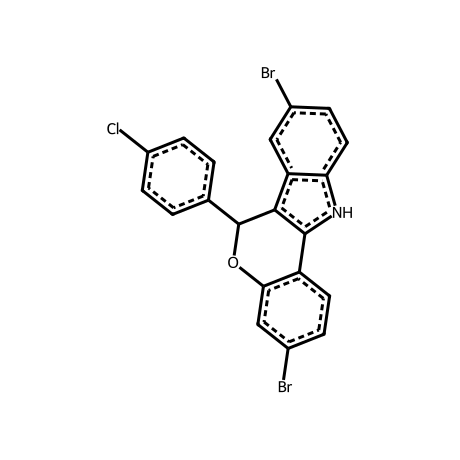 Clc1ccc(C2Oc3cc(Br)ccc3-c3[nH]c4ccc(Br)cc4c32)cc1